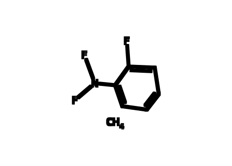 C.Fc1ccccc1N(F)F